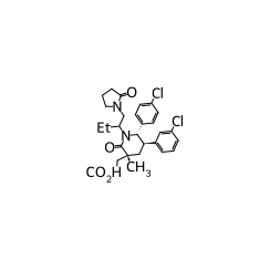 CCC(CN1CCCC1=O)N1C(=O)[C@@](C)(CC(=O)O)C[C@H](c2cccc(Cl)c2)[C@H]1c1ccc(Cl)cc1